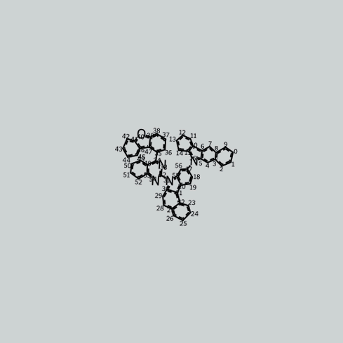 c1ccc2cc3c(cc2c1)c1ccccc1n3-c1ccc2c3c4ccccc4ccc3n(-c3nc(-c4cccc5oc6ccccc6c45)c4ccccc4n3)c2c1